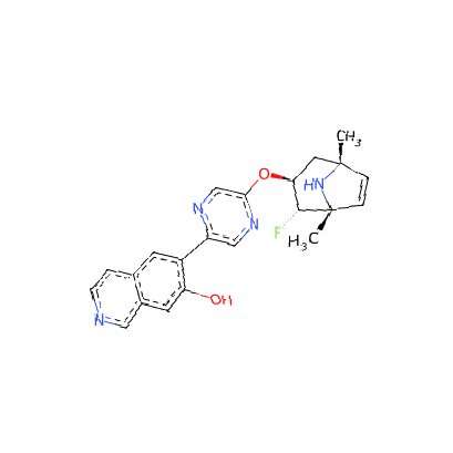 C[C@@]12C=C[C@@](C)(N1)[C@H](F)[C@@H](Oc1cnc(-c3cc4ccncc4cc3O)cn1)C2